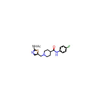 CC(=O)Nc1ncc(CN2CCC(C(=O)Nc3ccc(F)cc3)CC2)s1